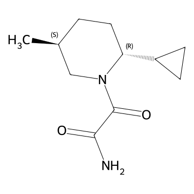 C[C@H]1CC[C@H](C2CC2)N(C(=O)C(N)=O)C1